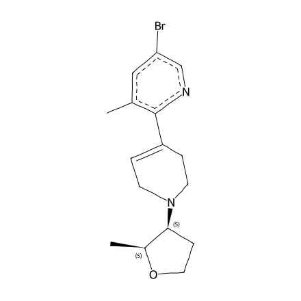 Cc1cc(Br)cnc1C1=CCN([C@H]2CCO[C@H]2C)CC1